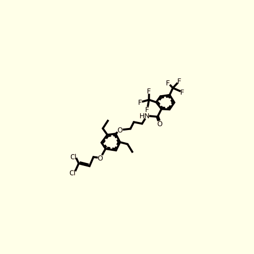 CCc1cc(OCC=C(Cl)Cl)cc(CC)c1OCCCNC(=O)c1ccc(C(F)(F)F)cc1C(F)(F)F